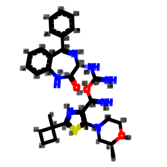 C[C@H]1CN(c2sc(C3(C)CCC3)nc2C(=N)OC(=N)N[C@H]2N=C(c3ccccc3)c3ccccc3NC2=O)CCO1